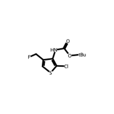 CC(C)(C)OC(=O)Nc1c(CF)csc1Cl